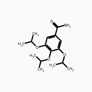 CC(C)Oc1cc(C(N)=O)cc(OC(C)C)c1OC(C)C